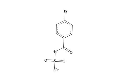 CCCS(=O)(=O)[N]C(=O)c1ccc(Br)cc1